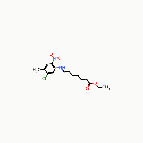 CCOC(=O)CCCCCCNc1cc(Cl)c(C)cc1[N+](=O)[O-]